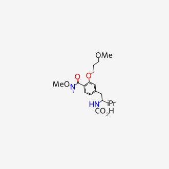 COCCCOc1cc(CC(NC(=O)O)C(C)C)ccc1C(=O)N(C)OC